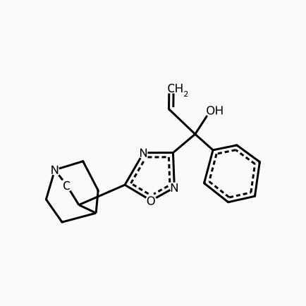 C=CC(O)(c1ccccc1)c1noc(C2CN3CCC2CC3)n1